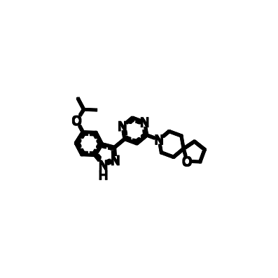 CC(C)Oc1ccc2[nH]nc(-c3cc(N4CCC5(CCCO5)CC4)ncn3)c2c1